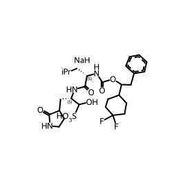 CC(C)C[C@H](NC(=O)OC(Cc1ccccc1)C1CCC(F)(F)CC1)C(=O)N[C@@H](CC1CCNC1=O)C(O)S(=O)(=O)O.[NaH]